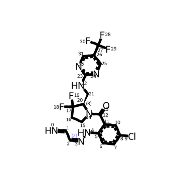 N=C/C=N\Nc1ccc(Cl)cc1C(=O)N1CCC(F)(F)[C@H]1CNc1ncc(C(F)(F)F)cn1